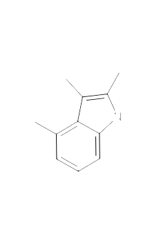 CC1=C(C)c2c(C)cccc2[N]1